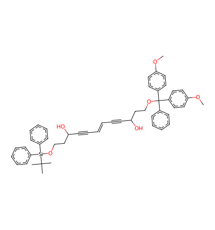 COc1ccc(C(OCCC(O)C#CC=CC#CC(O)CCO[Si](c2ccccc2)(c2ccccc2)C(C)(C)C)(c2ccccc2)c2ccc(OC)cc2)cc1